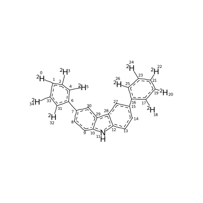 [2H]c1c([2H])c([2H])c(-c2ccc3[nH]c4ccc(-c5c([2H])c([2H])c([2H])c([2H])c5[2H])cc4c3c2)c([2H])c1[2H]